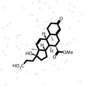 COC(=O)[C@@H]1CC2=CC(=O)CC[C@]2(C)[C@H]2C=C[C@@]3(C)[C@@H](CC[C@]3(O)CCC(=O)O)[C@H]12